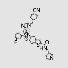 N#Cc1ccc(Cn2cncc2CN(c2ccc3sc(C(=O)NCc4cccnc4)cc3c2)S(=O)(=O)c2cccc(F)c2)cc1